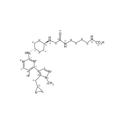 Cn1ncc(-c2nc(N[C@H]3CC[C@H](NCC(=O)NCCCCNC(=O)O)CC3)ncc2F)c1CC1CC1